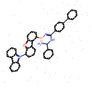 NC(N/C(=N\Pc1cccc2oc3c(-n4c5ccccc5c5ccccc54)cccc3c12)c1ccc(-c2ccccc2)cc1)c1ccccc1